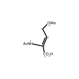 COC/C=C(\NC(C)=O)C(=O)O